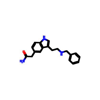 NC(=O)Cc1ccc2[nH]cc(CCNCc3ccccc3)c2c1